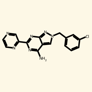 Nc1nc(-c2cnccn2)nc2nn(Cc3cccc(Cl)c3)cc12